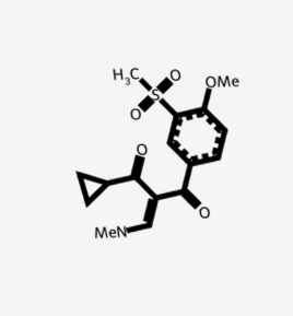 CN/C=C(/C(=O)c1ccc(OC)c(S(C)(=O)=O)c1)C(=O)C1CC1